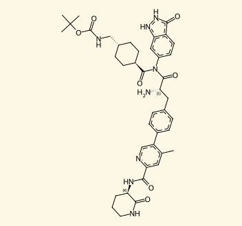 Cc1cc(C(=O)N[C@@H]2CCCNC2=O)ncc1-c1ccc(C[C@H](N)C(=O)N(c2ccc3c(=O)[nH][nH]c3c2)C(=O)[C@H]2CC[C@H](CNC(=O)OC(C)(C)C)CC2)cc1